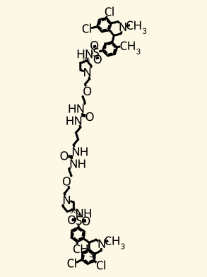 Cc1ccc(S(=O)(=O)N[C@@H]2CCN(CCOCCNC(=O)NCCCCNC(=O)NCCOCCN3CC[C@@H](NS(=O)(=O)c4ccc(C)c(C5CN(C)Cc6c(Cl)cc(Cl)cc65)c4)C3)C2)cc1C1CN(C)Cc2c(Cl)cc(Cl)cc21